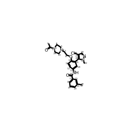 CC(=O)N1CCN(CCOc2ccc(NC(=O)c3cccc(F)c3)cc2-c2c(Cl)cnn2C)CC1